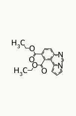 CCOC(=O)c1ccc2ncn3cccc3c2c1C(=O)OCC